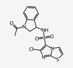 CC(=O)N1CC(NS(=O)(=O)c2c(Cl)nc3sccn23)c2ccccc21